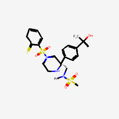 CC(C)N(C[C@@]1(c2ccc(C(C)(O)C(F)(F)F)cc2)CN(S(=O)(=O)C2=CC=CCC2=S)CCN1)S(C)(=O)=O